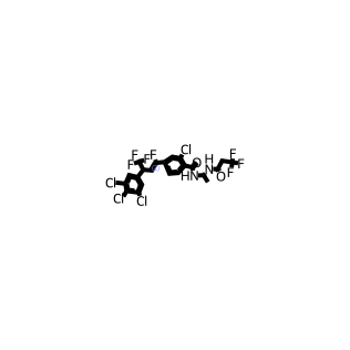 CC(NC(=O)CC(F)(F)F)NC(=O)c1ccc(/C(F)=C/C(c2cc(Cl)c(Cl)c(Cl)c2)C(F)(F)F)cc1Cl